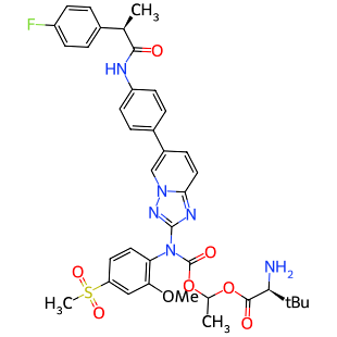 COc1cc(S(C)(=O)=O)ccc1N(C(=O)OC(C)OC(=O)[C@@H](N)C(C)(C)C)c1nc2ccc(-c3ccc(NC(=O)[C@H](C)c4ccc(F)cc4)cc3)cn2n1